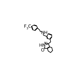 O=c1[nH]nc(Cc2cccc(CNCCc3ccc(C(F)(F)F)cc3)c2)c2c1CCCC2